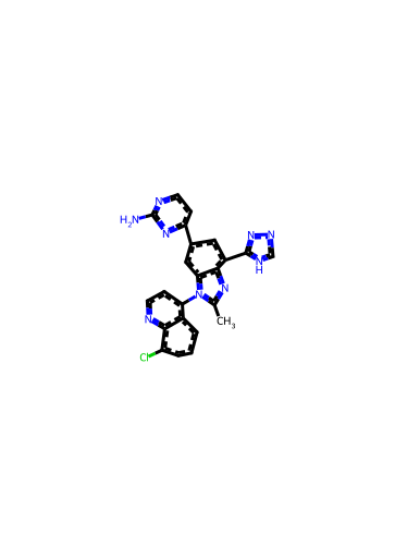 Cc1nc2c(-c3nnc[nH]3)cc(-c3ccnc(N)n3)cc2n1-c1ccnc2c(Cl)cccc12